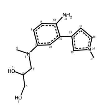 CN(CC(O)CO)c1ccc(N)c(-c2ccn(C)c2)c1